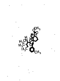 CC[C@H](C)C(NC)C(=O)O[C@@]1(C#Cc2cccc(C)c2)CCC[C@@H]2[C@H]1CCN2C(=O)OC